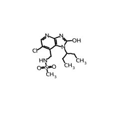 CCC(CC)n1c(O)nc2ncc(Cl)c(CNS(C)(=O)=O)c21